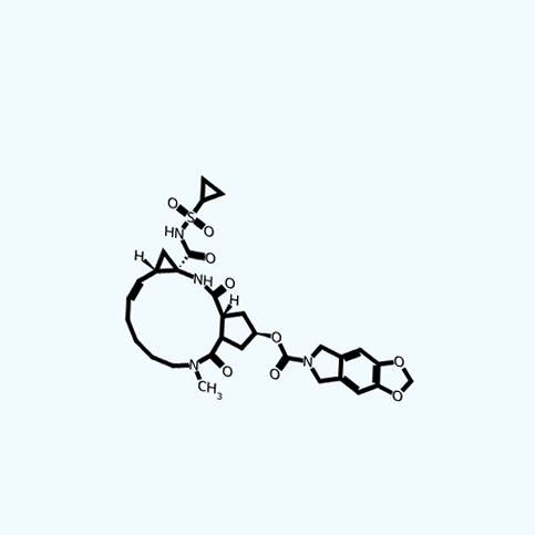 CN1CCCC/C=C\[C@@H]2C[C@@]2(C(=O)NS(=O)(=O)C2CC2)NC(=O)[C@@H]2C[C@@H](OC(=O)N3Cc4cc5c(cc4C3)OCO5)CC2C1=O